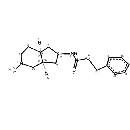 CN1CC[C@H]2C[C@@H](NC(=O)OCc3ccccc3)C[C@H]2C1